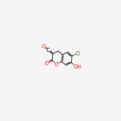 O=C=C1Cc2cc(Cl)c(O)cc2OC1=O